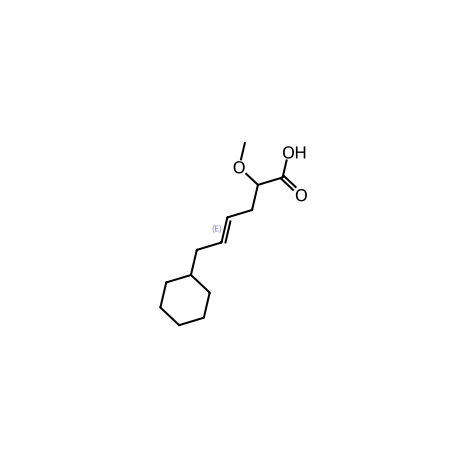 COC(C/C=C/CC1CCCCC1)C(=O)O